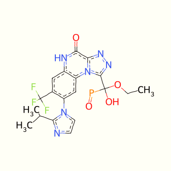 CCOC(O)(P=O)c1nnc2c(=O)[nH]c3cc(C(F)(F)F)c(-n4ccnc4C(C)C)cc3n12